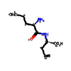 N[C@@H](CC[C]=O)C(=O)N[C@@H](C[SeH])C(=O)O